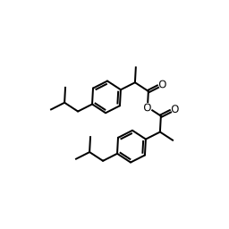 CC(C)Cc1ccc(C(C)C(=O)OC(=O)C(C)c2ccc(CC(C)C)cc2)cc1